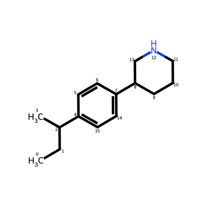 CCC(C)c1ccc(C2CCCNC2)cc1